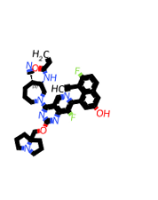 C#Cc1c(F)ccc2cc(O)cc(-c3ncc4c(N5CCC[C@H](C#N)[C@H](NC(=O)C=C)C5)nc(OCC56CCCN5CCC6)nc4c3F)c12